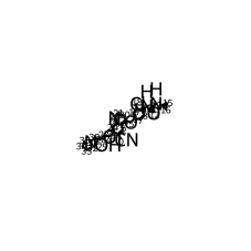 N#Cc1cc2c(Oc3ccc(NC(=O)NC4CC4)c(Cl)c3)ccnc2cc1OC[C@H](O)CN1CCCC1